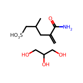 C=C(CC(C)CS(=O)(=O)O)C(N)=O.OCC(O)CO